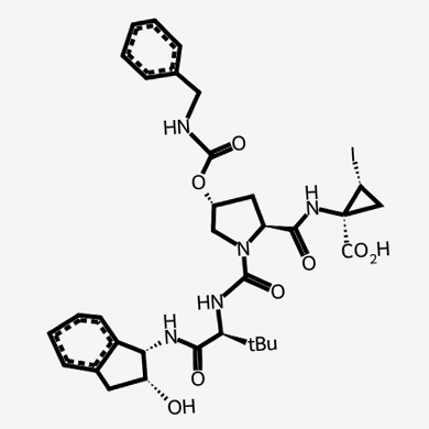 CC(C)(C)[C@H](NC(=O)N1C[C@H](OC(=O)NCc2ccccc2)C[C@H]1C(=O)N[C@]1(C(=O)O)C[C@H]1I)C(=O)N[C@H]1c2ccccc2C[C@H]1O